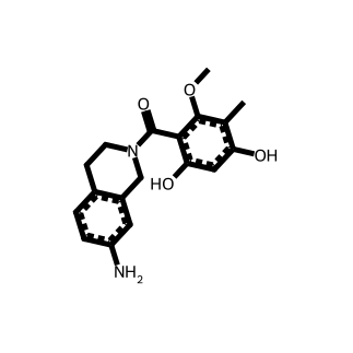 COc1c(C)c(O)cc(O)c1C(=O)N1CCc2ccc(N)cc2C1